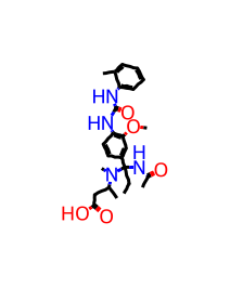 CCC(NC(C)=O)(c1ccc(NC(=O)Nc2ccccc2C)c(OC)c1)N(C)C(C)CC(=O)O